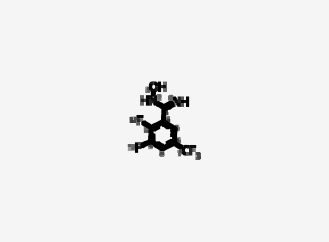 N=C(NO)c1cc(C(F)(F)F)cc(F)c1F